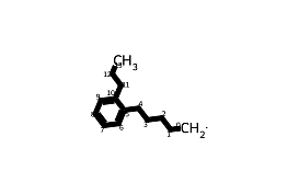 [CH2]CCCCc1ccccc1CCC